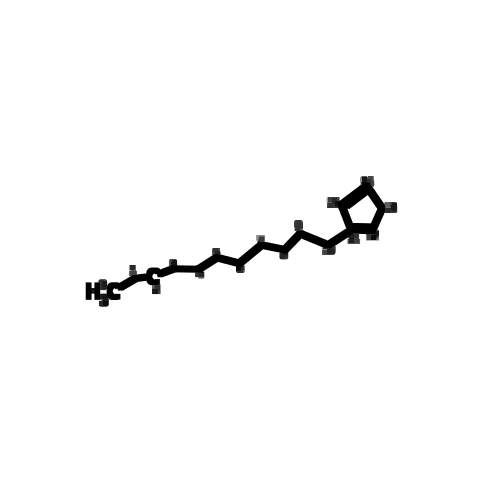 CCCCCCCCCCCC1=CCC=C1